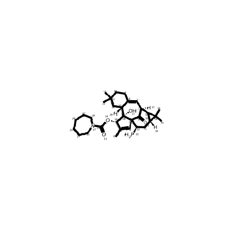 CC1=C[C@]23C(=O)[C@@H](C=C4CCC(C)(C)C[C@H]4[C@]2(O)[C@H]1OC(=O)N1CCCCCC1)C1[C@@H](C[C@H]3P)C1(C)C